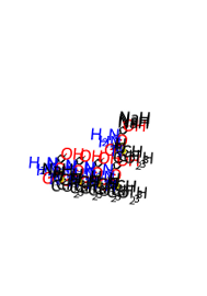 CC1(C)S[C@@H]2[C@H](NC(=O)C(N)c3ccc(O)cc3)C(=O)N2[C@H]1C(=O)O.CC1(C)S[C@@H]2[C@H](NC(=O)C(N)c3ccc(O)cc3)C(=O)N2[C@H]1C(=O)O.CC1(C)S[C@@H]2[C@H](NC(=O)C(N)c3ccc(O)cc3)C(=O)N2[C@H]1C(=O)O.CC1(C)S[C@@H]2[C@H](NC(=O)C(N)c3ccc(O)cc3)C(=O)N2[C@H]1C(=O)O.CC1(C)S[C@@H]2[C@H](NC(=O)C(N)c3ccc(O)cc3)C(=O)N2[C@H]1C(=O)O.[NaH].[NaH].[NaH].[NaH]